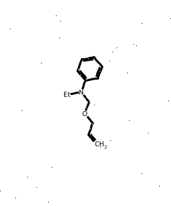 C=CCOCN(CC)c1ccccc1